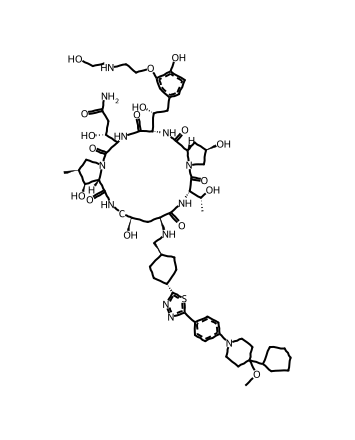 COC1(C2CCCCC2)CCN(c2ccc(-c3nnc([C@H]4CC[C@H](CN[C@H]5C[C@@H](O)CNC(=O)[C@@H]6[C@@H](O)[C@@H](C)CN6C(=O)[C@H]([C@H](O)CC(N)=O)NC(=O)[C@H]([C@H](O)Cc6ccc(O)c(OCCNCCO)c6)NC(=O)[C@@H]6C[C@@H](O)CN6C(=O)[C@H]([C@@H](C)O)NC5=O)CC4)s3)cc2)CC1